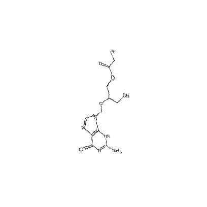 CC(C)CC(=O)OCC(CO)OCn1cnc2c(=O)nc(N)[nH]c21